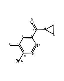 Cc1cc(C(=O)C2CC2)ncc1Br